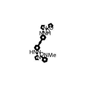 CNc1ccccc1C(=O)N1CCC[C@H]1c1nc2cc(C#Cc3ccc4[nH]c([C@@H]5CCCN5C(=O)[C@H]5CCCO5)nc4c3)ccc2[nH]1